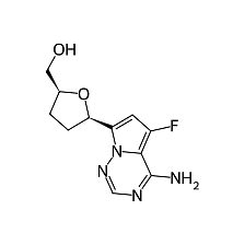 Nc1ncnn2c([C@H]3CC[C@@H](CO)O3)cc(F)c12